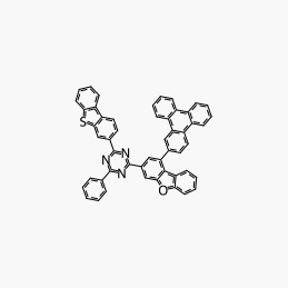 c1ccc(-c2nc(-c3cc(-c4ccc5c6ccccc6c6ccccc6c5c4)c4c(c3)oc3ccccc34)nc(-c3ccc4c(c3)sc3ccccc34)n2)cc1